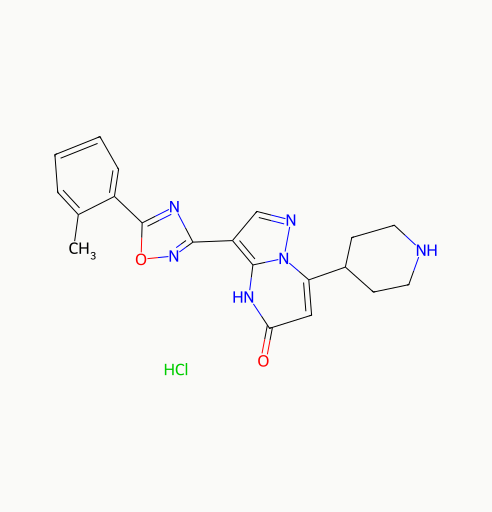 Cc1ccccc1-c1nc(-c2cnn3c(C4CCNCC4)cc(=O)[nH]c23)no1.Cl